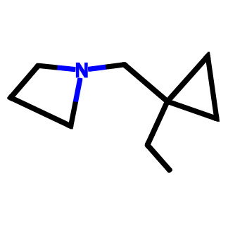 CCC1(CN2CCC2)CC1